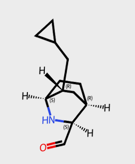 O=C[C@H]1N[C@H]2CC[C@@H]1C[C@H]2CC1CC1